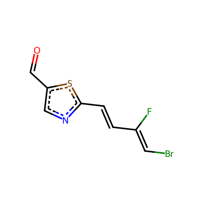 O=Cc1cnc(C=CC(F)=CBr)s1